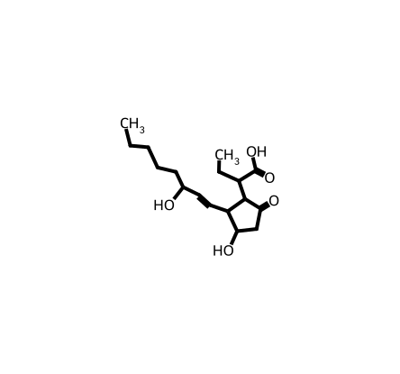 CCCCCC(O)C=CC1C(O)CC(=O)C1C(CC)C(=O)O